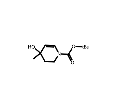 CC1(O)C=CN(C(=O)OC(C)(C)C)CC1